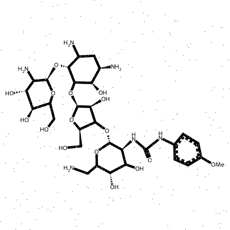 COc1ccc(NC(=O)N[C@H]2C(O)[C@H](O)C(CN)O[C@@H]2OC2[C@@H](CO)O[C@@H](OC3[C@H](O[C@H]4OC(CO)[C@@H](O)[C@H](O)C4N)C(N)C[C@@H](N)[C@H]3O)[C@H]2O)cc1